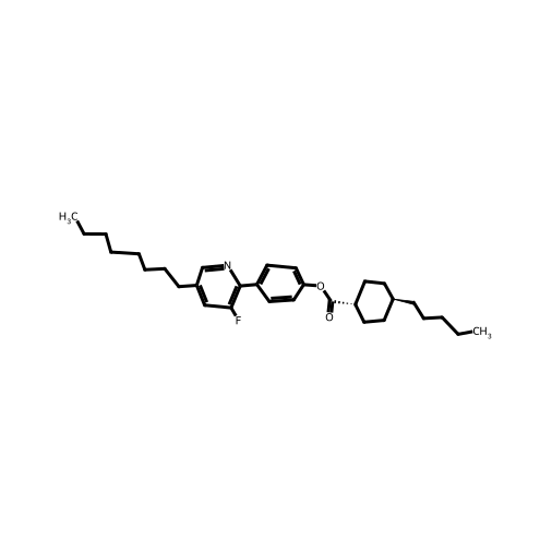 CCCCCCCCc1cnc(-c2ccc(OC(=O)[C@H]3CC[C@H](CCCCC)CC3)cc2)c(F)c1